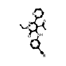 CCn1nc(-c2ccccn2)c(C(C)=O)c(Nc2cccc(C#N)c2)c1=O